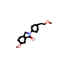 COCCc1ccc(N2Cc3ccc(OC)cc3C2=O)cc1